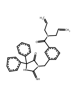 C=CCN(CC=C)C(=O)c1cccc(CN2C(=N)NC(c3ccccc3)(c3ccccc3)C2=O)c1